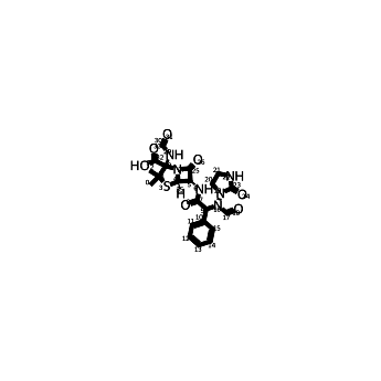 CC1(C)S[C@@H]2[C@@H](NC(=O)C(c3ccccc3)N(C=O)N3CCNC3=O)C(=O)N2[C@@]1(NC=O)C(=O)O